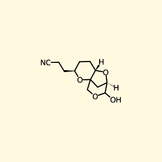 N#CCC[C@H]1CC[C@@H]2O[C@@H]3CC2(COC3O)O1